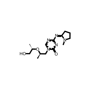 C[C@H](Cn1cnc(/N=C2/CCCN2C)nc1=O)O[C@@H](C)CO